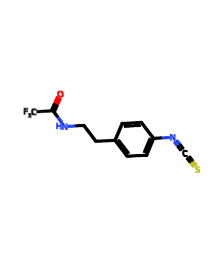 O=C(NCCc1ccc(N=C=S)cc1)C(F)(F)F